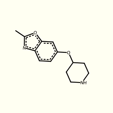 Cc1nc2ccc(OC3CCNCC3)cc2o1